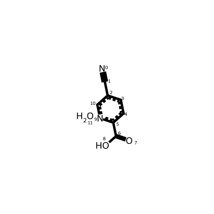 N#Cc1ccc(C(=O)O)nc1.O